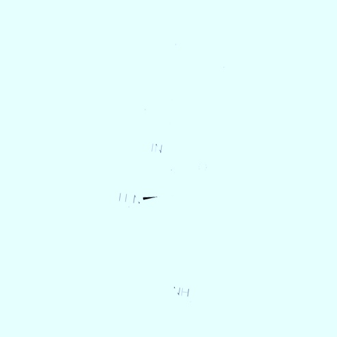 CC(C)(NC(=O)[C@H](N)CCCN)c1ccccc1